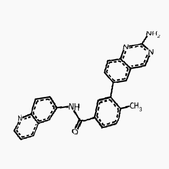 Cc1ccc(C(=O)Nc2ccc3ncccc3c2)cc1-c1ccc2nc(N)ncc2c1